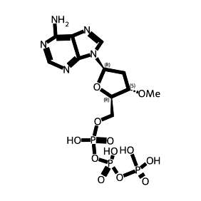 CO[C@H]1C[C@H](n2cnc3c(N)ncnc32)O[C@@H]1COP(=O)(O)OP(=O)(O)OP(=O)(O)O